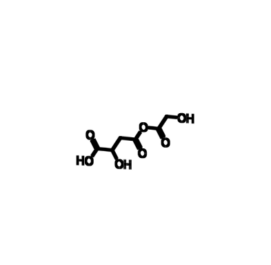 O=C(CO)OC(=O)CC(O)C(=O)O